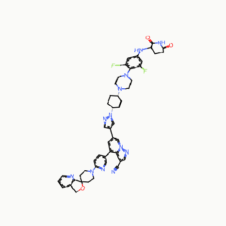 N#Cc1cnn2cc(-c3cnn([C@H]4CC[C@@H](N5CCN(c6c(F)cc(NC7CCC(=O)NC7=O)cc6F)CC5)CC4)c3)cc(-c3ccc(N4CCC5(CC4)OCc4cccnc45)nc3)c12